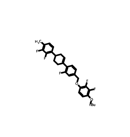 CCCCOc1ccc(OCc2ccc(C3=CCC(c4ccc(C)c(F)c4F)CC3)c(F)c2)c(F)c1F